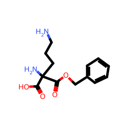 NCCCC(N)(C(=O)O)C(=O)OCc1ccccc1